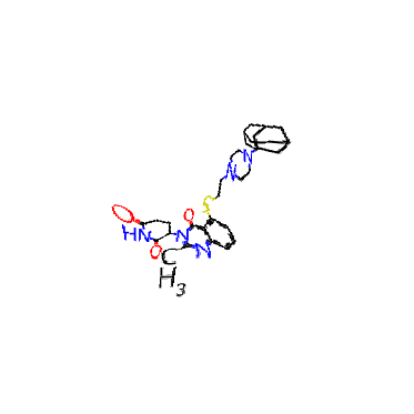 Cc1nc2cccc(SCCN3CCN(C45CC6CC(CC(C6)C4)C5)CC3)c2c(=O)n1C1CCC(=O)NC1=O